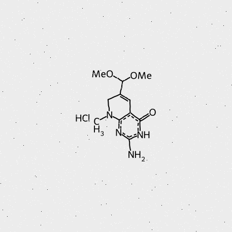 COC(OC)C1=Cc2c(nc(N)[nH]c2=O)N(C)C1.Cl